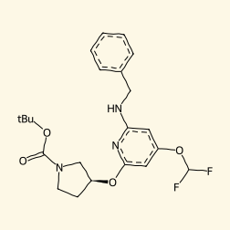 CC(C)(C)OC(=O)N1CC[C@H](Oc2cc(OC(F)F)cc(NCc3ccccc3)n2)C1